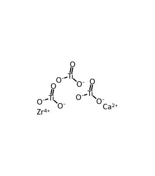 [Ca+2].[O]=[Ti]([O-])[O-].[O]=[Ti]([O-])[O-].[O]=[Ti]([O-])[O-].[Zr+4]